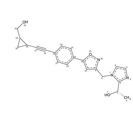 C[C@H](O)c1nccn1Cc1cc(-c2ccc(C#CC3CC3CO)cc2)on1